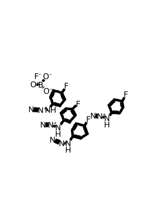 N#[N+]Nc1ccc(F)cc1.N#[N+]Nc1ccc(F)cc1.N#[N+]Nc1ccc(F)cc1.N#[N+]Nc1ccc(F)cc1.[F-].[O-]B([O-])[O-]